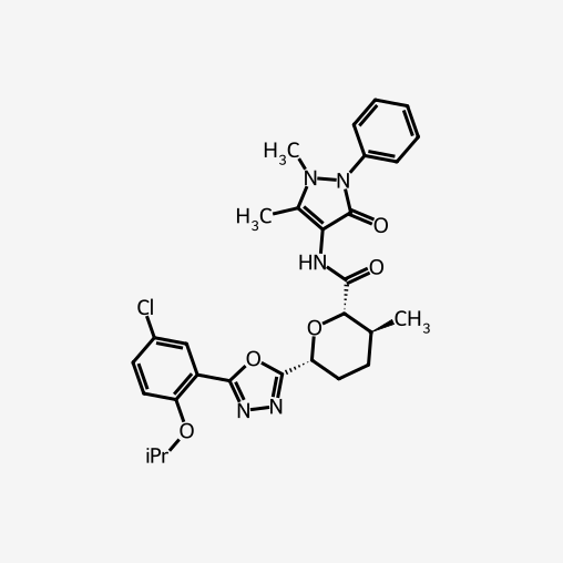 Cc1c(NC(=O)[C@H]2O[C@@H](c3nnc(-c4cc(Cl)ccc4OC(C)C)o3)CC[C@@H]2C)c(=O)n(-c2ccccc2)n1C